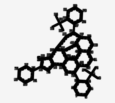 CC(C)(C)c1ccccc1-c1cc2c3cc(-c4ccccc4)[se]c3c3cc(-c4ccccc4C(C)(C)C)c4ccc5ccc1c1c5c4c3c21